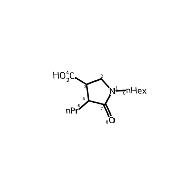 CCCCCCN1CC(C(=O)O)C(CCC)C1=O